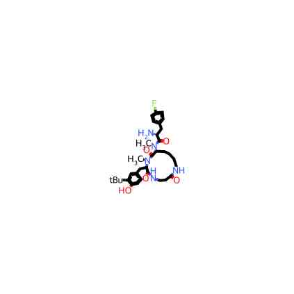 CN1C(=O)C(N(C)C(=O)[C@@H](N)Cc2ccc(F)cc2)CCCCNC(=O)CCNC(=O)C1Cc1ccc(O)c(C(C)(C)C)c1